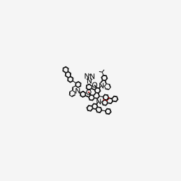 CC(C)c1ccc2c(c1)=CN(c1cc3c(-c4ccccc4)c(N(c4ccc5cc6ccccc6cc5c4)c4cc5ccccc5c5ccc(-c6ccccc6)cc45)c4ccc5c6ccc(N7c8cccc(-c9ccc%10cc%11ccccc%11cc%10c9)c8C=C8C=CC=CC87)cc6oc5c4c3c3c1oc1c(N4C=NC=NC4)cccc13)C1C=CC=CC=21